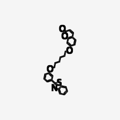 O=c1ccc2ccc(OCCCCCCOc3cccc(-c4nc5ccccc5s4)c3)cc2o1